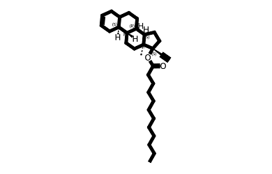 C#C[C@]1(OC(=O)CCCCCCCCCCC)CC[C@H]2[C@@H]3CCC4CC=CC[C@@H]4[C@H]3CC[C@@]21C